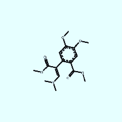 COC(=O)/C(=C\N(C)C)c1cc(OC)c(OC)cc1C(=O)OC